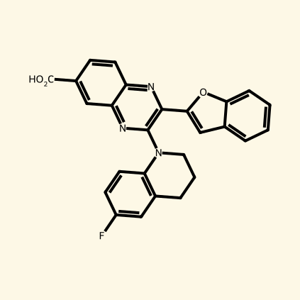 O=C(O)c1ccc2nc(-c3cc4ccccc4o3)c(N3CCCc4cc(F)ccc43)nc2c1